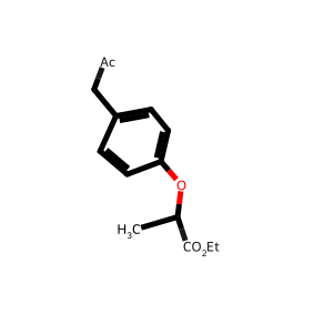 CCOC(=O)C(C)Oc1ccc(CC(C)=O)cc1